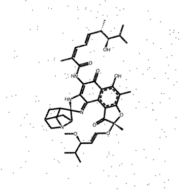 CO[C@@H](/C=C/O[C@@]1(C)Oc2c(C)c(O)c3c(c2C1=O)C1=N[C@@]2(NC1=C(NC(=O)/C(C)=C\C=C\[C@H](C)[C@H](O)C(C)C)C3=O)C1CC3CC2N(C3)C1)C(C)C